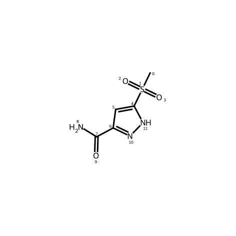 CS(=O)(=O)c1cc(C(N)=O)n[nH]1